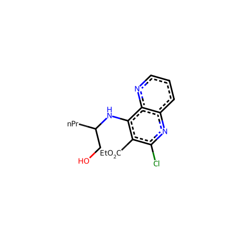 CCCC(CO)Nc1c(C(=O)OCC)c(Cl)nc2cccnc12